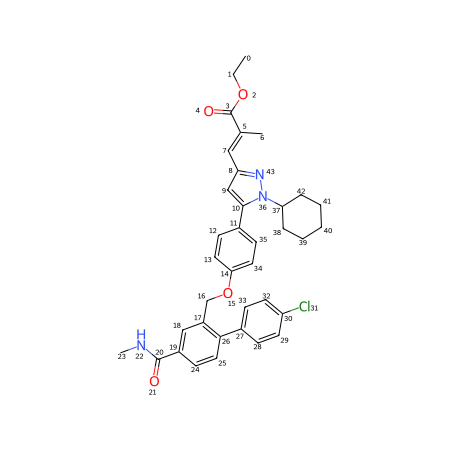 CCOC(=O)/C(C)=C/c1cc(-c2ccc(OCc3cc(C(=O)NC)ccc3-c3ccc(Cl)cc3)cc2)n(C2CCCCC2)n1